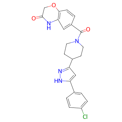 O=C1COc2ccc(C(=O)N3CCC(c4cc(-c5ccc(Cl)cc5)[nH]n4)CC3)cc2N1